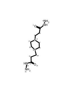 NNC(=O)CCN1CCN(CCC(=O)NN)CC1